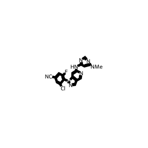 CNc1cc(Nc2cc3c(cn2)cnn3-c2c(F)cc(C#N)cc2Cl)ncn1